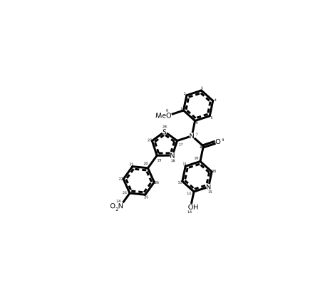 COc1ccccc1N(C(=O)c1ccc(O)nc1)c1nc(-c2ccc([N+](=O)[O-])cc2)cs1